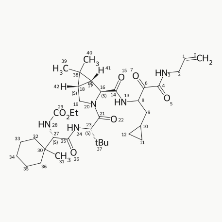 C=CCNC(=O)C(=O)C(CC1CC1)NC(=O)[C@@H]1[C@@H]2[C@H](CN1C(=O)[C@@H](NC(=O)[C@@H](NC(=O)OCC)C1(C)CCCCC1)C(C)(C)C)C2(C)C